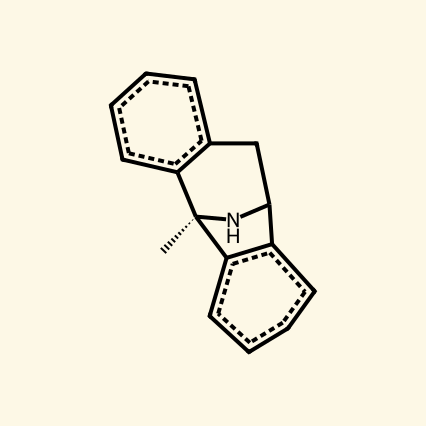 C[C@@]12NC(Cc3ccccc31)c1ccccc12